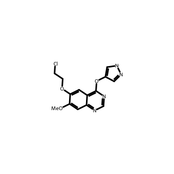 COc1cc2ncnc(OC3=C[N]N=C3)c2cc1OCCCl